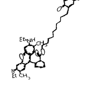 CC/N=c1/cc2oc3cc(NCC)c(C)cc3c(-c3ccccc3C(=O)OCCCCCCCCCCC3=CC(=O)C(C)=CC3=O)c-2cc1C